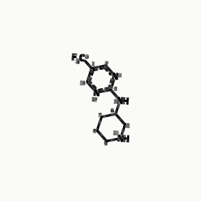 FC(F)(F)c1cnc(NC2CCCNC2)nc1